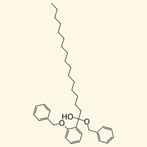 CCCCCCCCCCCCCCCCC(O)(OCc1ccccc1)c1ccccc1OCc1ccccc1